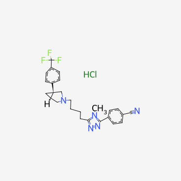 Cl.Cn1c(CCCCN2C[C@@H]3C[C@]3(c3ccc(C(F)(F)F)cc3)C2)nnc1-c1ccc(C#N)cc1